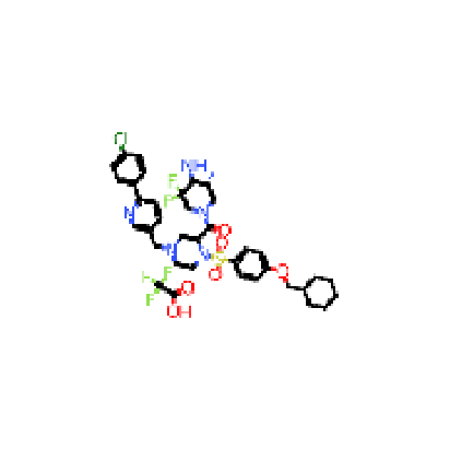 NC1CCN(C(=O)C2CN(Cc3ccc(-c4ccc(Cl)cc4)nc3)CCN2S(=O)(=O)c2ccc(OCC3CCCCC3)cc2)CC1(F)F.O=C(O)C(F)(F)F